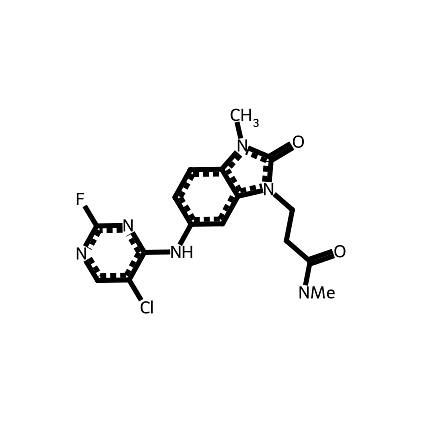 CNC(=O)CCn1c(=O)n(C)c2ccc(Nc3nc(F)ncc3Cl)cc21